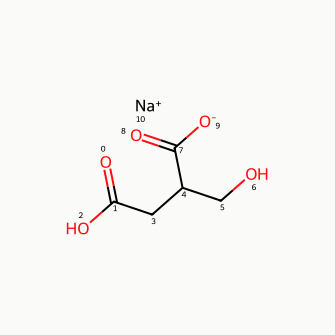 O=C(O)CC(CO)C(=O)[O-].[Na+]